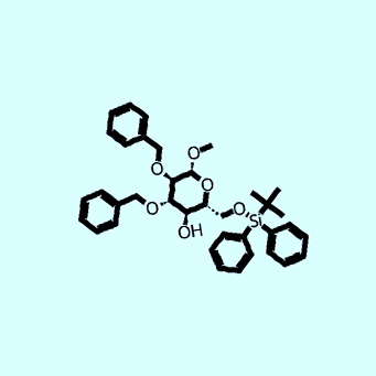 CO[C@@H]1O[C@H](CO[Si](c2ccccc2)(c2ccccc2)C(C)(C)C)[C@@H](O)[C@H](OCc2ccccc2)[C@H]1OCc1ccccc1